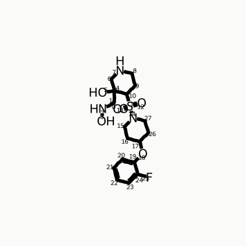 O=C(NO)C1(O)CNCCC1S(=O)(=O)N1CCC(Oc2ccccc2F)CC1